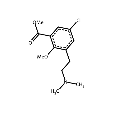 COC(=O)c1cc(Cl)cc(CCN(C)C)c1OC